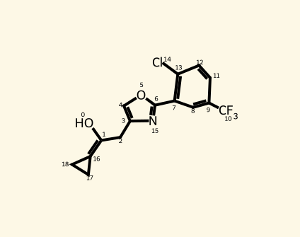 OC(Cc1coc(-c2cc(C(F)(F)F)ccc2Cl)n1)=C1CC1